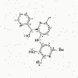 Cc1ccc(Pc2cc(C(C)(C)C)cc(C(C)(C)C)c2O)c(C(O)c2ccccc2)c1